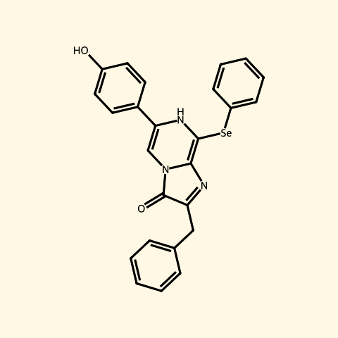 O=c1c(Cc2ccccc2)nc2c([Se]c3ccccc3)[nH]c(-c3ccc(O)cc3)cn1-2